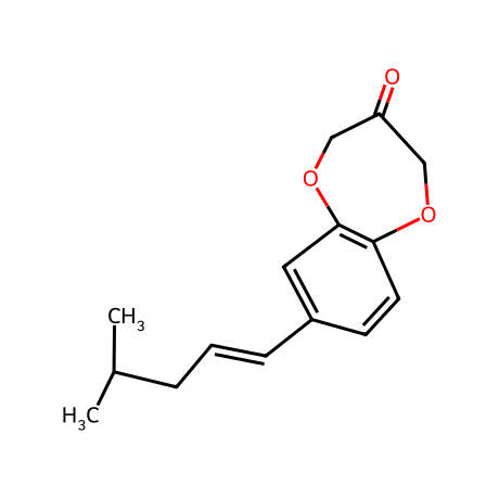 CC(C)CC=Cc1ccc2c(c1)OCC(=O)CO2